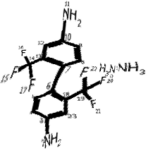 N.N.Nc1ccc(-c2ccc(N)cc2C(F)(F)F)c(C(F)(F)F)c1